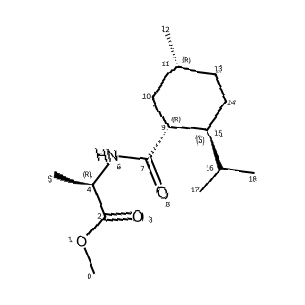 COC(=O)[C@@H](C)NC(=O)[C@@H]1C[C@H](C)CC[C@H]1C(C)C